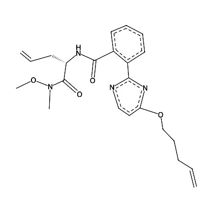 C=CCCCOc1ccnc(-c2ccccc2C(=O)N[C@@H](CC=C)C(=O)N(C)OC)n1